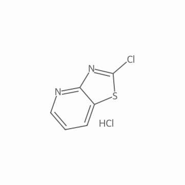 Cl.Clc1nc2ncccc2s1